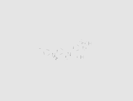 CCCN(Cc1ccc(S(C)(=O)=O)cc1)C(=O)c1cccc2c1cnn2-c1ccc(F)cc1